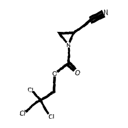 N#CC1CN1C(=O)OCC(Cl)(Cl)Cl